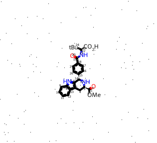 COC(=O)[C@H]1Cc2c([nH]c3ccccc23)[C@H](c2ccc(C(=O)N[C@H](C(=O)O)C(C)(C)C)cc2)N1